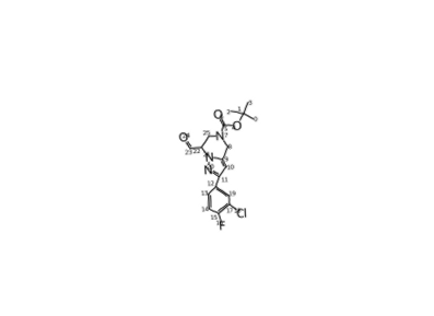 CC(C)(C)OC(=O)N1Cc2cc(-c3ccc(F)c(Cl)c3)nn2C(C=O)C1